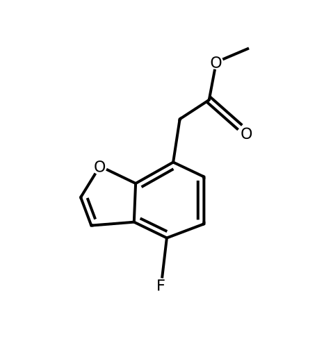 COC(=O)Cc1ccc(F)c2ccoc12